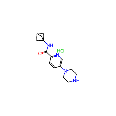 Cl.O=C(NC12CC(C1)C2)c1ccc(N2CCNCC2)cn1